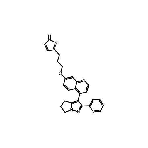 c1ccc(-c2nn3c(c2-c2ccnc4cc(OCCCc5cc[nH]n5)ccc24)CCC3)nc1